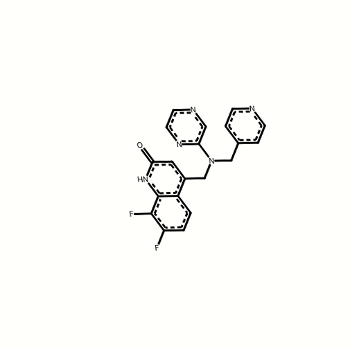 O=c1cc(CN(Cc2ccncc2)c2cnccn2)c2ccc(F)c(F)c2[nH]1